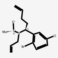 C=CCC[C@@H](c1cc(Cl)ccc1Br)N(CC=C)[S@@+]([O-])C(C)(C)C